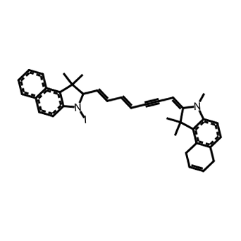 CN1/C(=C/C#C/C=C/C=C/C2N(I)c3ccc4ccccc4c3C2(C)C)C(C)(C)c2c1ccc1c2CC=CC1